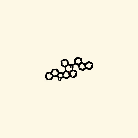 c1ccc(N(c2ccccc2-c2cccc3oc4c5ccccc5ccc4c23)c2cccc3c2ccc2ccccc23)cc1